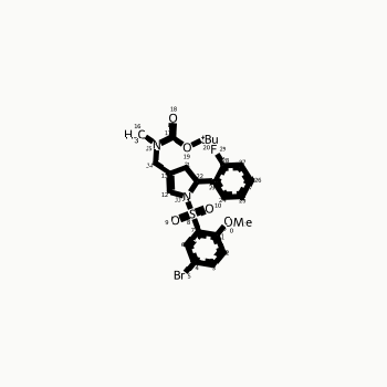 COc1ccc(Br)cc1S(=O)(=O)N1C=C(CN(C)C(=O)OC(C)(C)C)CC1c1ccccc1F